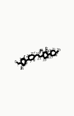 CCc1ccc(C2CCC(CCc3ccc(C4CCC(C)CC4)c(F)c3F)CC2)cc1F